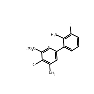 CCOC(=O)c1nc(-c2cccc(F)c2N)cc(N)c1Cl